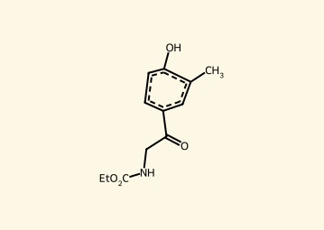 CCOC(=O)NCC(=O)c1ccc(O)c(C)c1